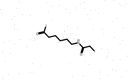 O=C(I)CCCCCNC(=O)CI